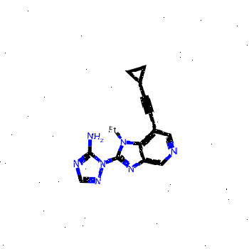 CCn1c(-n2ncnc2N)nc2cncc(C#CC3CC3)c21